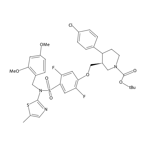 COc1ccc(CN(c2ncc(C)s2)S(=O)(=O)c2cc(F)c(OC[C@@H]3CN(C(=O)OC(C)(C)C)CCC3c3ccc(Cl)cc3)cc2F)c(OC)c1